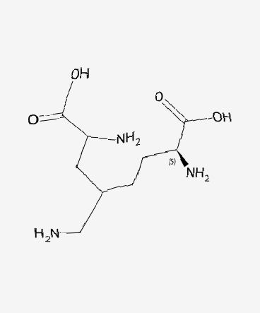 NCC(CC[C@H](N)C(=O)O)CC(N)C(=O)O